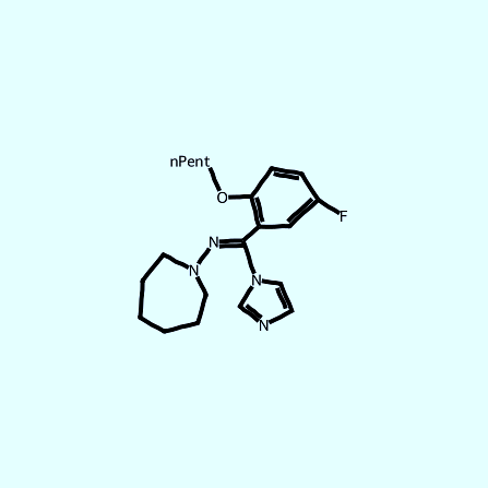 CCCCCOc1ccc(F)cc1C(=NN1CCCCCC1)n1ccnc1